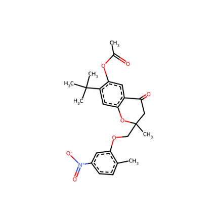 CC(=O)Oc1cc2c(cc1C(C)(C)C)OC(C)(COc1cc([N+](=O)[O-])ccc1C)CC2=O